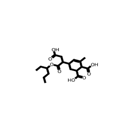 CCCC(CC)OC(=O)C(CC(=O)O)C1C=C(C)C(C(=O)O)C(C(=O)O)C1